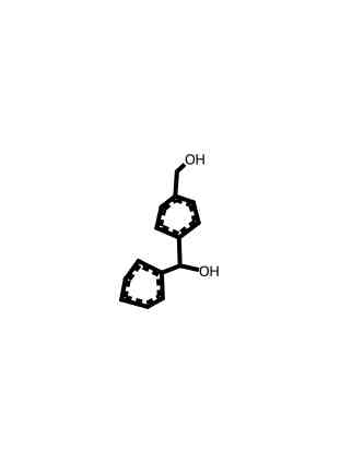 OCc1ccc(C(O)c2ccccc2)cc1